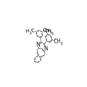 Cc1cc(C)cc(C2=NC3=CC(C=c4ccccc4=C3)N=C2c2cc(C)cc(C)c2)c1